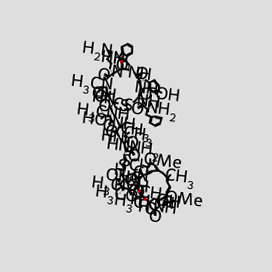 COc1cc2cc(c1Cl)N(C)C(C=O)C1(OC(=O)[C@H](C)N(C)C(=O)CCSSC[C@H](NC(=O)[C@H](C)NC(=O)[C@H](C)NC(=O)[C@@H](NC(=O)[C@@H]3CSSC[C@H](NC(=O)[C@H](N)Cc4ccccc4)C(=O)N[C@@H](Cc4ccc(O)cc4)C(=O)N[C@H](Cc4c[nH]c5ccccc45)C(=O)N[C@@H](CCCCN)C(=O)N[C@@H]([C@@H](C)O)C(=O)N3)[C@@H](C)O)C(N)=O)O[C@@H]([C@H](C)[C@@H]3C[C@@](O)(NC(=O)O3)[C@H](OC)/C=C/C=C(\C)C2)[C@@H]1C